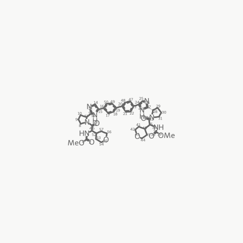 COC(=O)NC(C(=O)N1CCCC1c1ncc(-c2ccc(-c3ccc(-c4cnc([C@@H]5CCCN5C(=O)C(NC(=O)OC)C5CCOCC5)[nH]4)cc3)cc2)[nH]1)C1CCOCC1